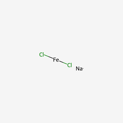 [Cl][Fe][Cl].[Na]